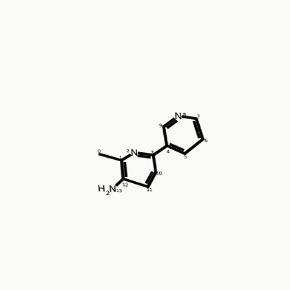 Cc1nc(-c2cccnc2)ccc1N